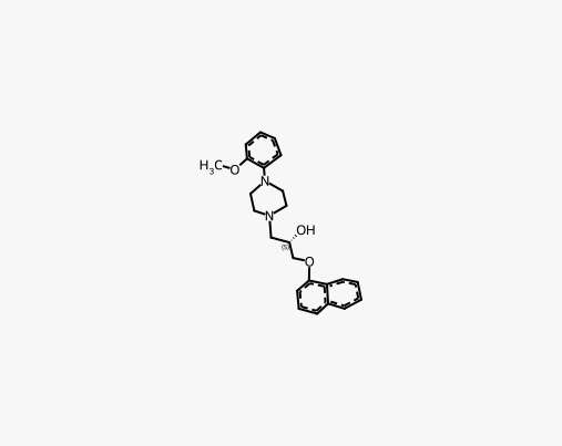 COc1ccccc1N1CCN(C[C@H](O)COc2cccc3ccccc23)CC1